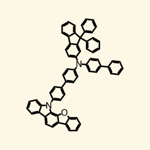 c1ccc(-c2ccc(N(c3ccc(-c4ccc(-n5c6ccccc6c6ccc7c8ccccc8oc7c65)cc4)cc3)c3ccc4c(c3)C(c3ccccc3)(c3ccccc3)c3ccccc3-4)cc2)cc1